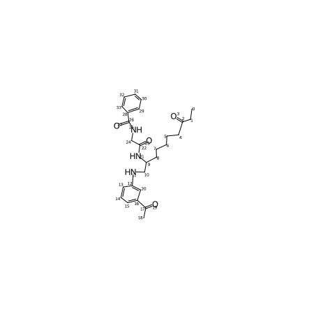 CCC(=O)CCCCCC(CNc1cccc(C(C)=O)c1)NC(=O)CNC(=O)c1ccccc1